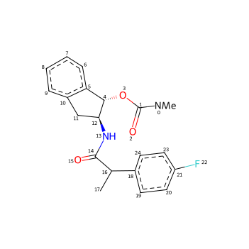 CNC(=O)O[C@H]1c2ccccc2C[C@@H]1NC(=O)C(C)c1ccc(F)cc1